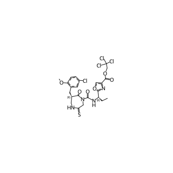 CC[C@@H](NC(=O)N1CC(=S)NC[C@@H](Cc2cc(Cl)ccc2OC)C1=O)c1nc(C(=O)OCC(Cl)(Cl)Cl)co1